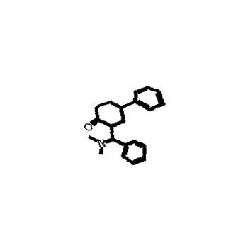 CN(C)C(c1ccccc1)C1CC(c2ccccc2)CCC1=O